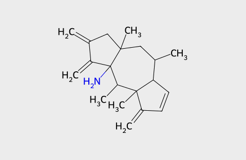 C=C1CC2(C)CC(C)C3C=CC(=C)C3(C)C(C)C2(N)C1=C